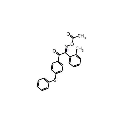 CC(=O)O/N=C(/C(=O)c1ccc(Sc2ccccc2)cc1)c1ccccc1C